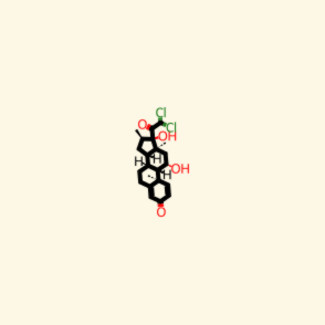 C[C@@H]1C[C@H]2[C@@H]3CCC4=CC(=O)C=C[C@]4(C)[C@H]3[C@@H](O)C[C@]2(C)[C@@]1(O)C(=O)C(Cl)Cl